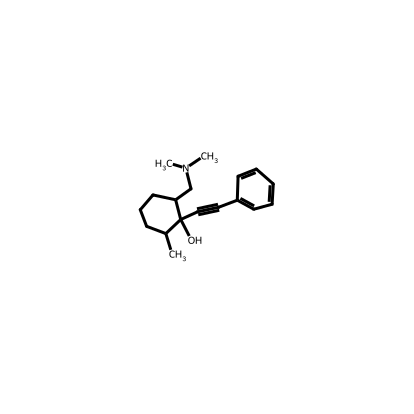 CC1CCCC(CN(C)C)C1(O)C#Cc1ccccc1